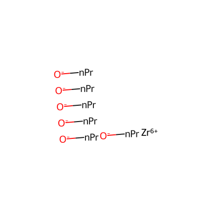 CCC[O-].CCC[O-].CCC[O-].CCC[O-].CCC[O-].CCC[O-].[Zr+6]